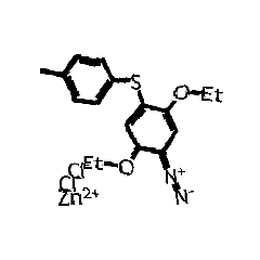 CCOC1=CC(=[N+]=[N-])C(OCC)C=C1Sc1ccc(C)cc1.[Cl-].[Cl-].[Zn+2]